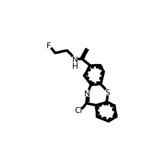 C=C(NCCF)c1ccc2c(c1)N=C(Cl)c1ccccc1S2